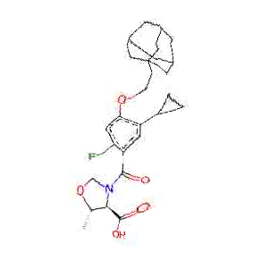 C[C@@H]1OCN(C(=O)c2cc(C3CC3)c(OCC34CC5CC(CC(C5)C3)C4)cc2F)[C@H]1C(=O)O